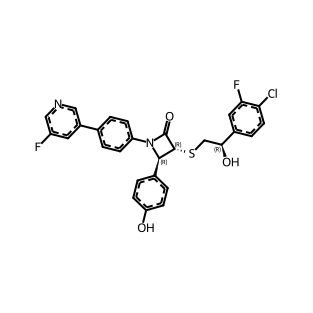 O=C1[C@H](SC[C@H](O)c2ccc(Cl)c(F)c2)[C@@H](c2ccc(O)cc2)N1c1ccc(-c2cncc(F)c2)cc1